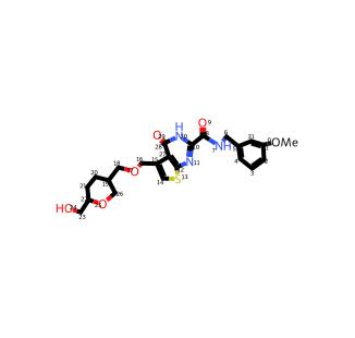 COc1cccc(CNC(=O)c2nc3scc(COCC4CCC(CO)OC4)c3c(=O)[nH]2)c1